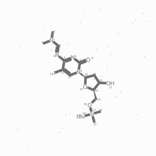 CN(C)/C=N/c1nc(=O)n([C@H]2CC(O)[C@@H](CO[Si](C)(C)C(C)(C)C)O2)cc1I